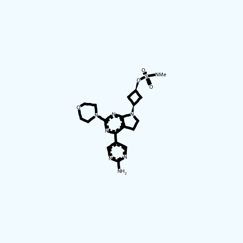 CNS(=O)(=O)O[C@H]1C[C@@H](N2CCc3c(-c4cnc(N)nc4)nc(N4CCOCC4)nc32)C1